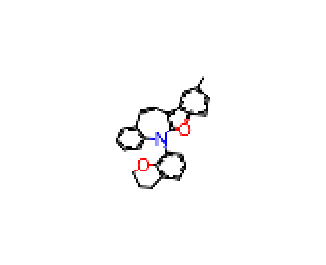 Cc1ccc2oc3c(c2c1)C=Cc1ccccc1N3c1cccc2c1OCCC2